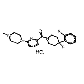 CN1CCN(c2cccc(C(=O)N3CCC(F)(c4ccccc4F)CC3)n2)CC1.Cl